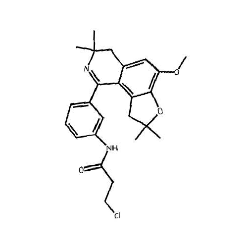 COc1cc2c(c3c1OC(C)(C)C3)C(c1cccc(NC(=O)CCCl)c1)=NC(C)(C)C2